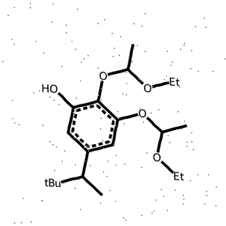 CCOC(C)Oc1cc(C(C)C(C)(C)C)cc(O)c1OC(C)OCC